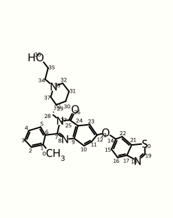 Cc1ccccc1-c1nc2ccc(Oc3ccc4ncsc4c3)cc2c(=O)n1C[C@H]1CCCN(CCO)C1